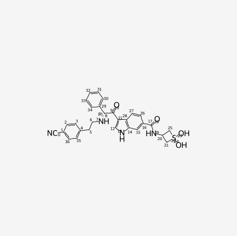 N#Cc1ccc(CCN[C@@H](C(=O)c2c[nH]c3cc(C(=O)NC4CS(O)(O)C4)ccc23)c2ccccc2)cc1